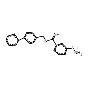 N=C(NCc1ccc(-c2ccccc2)cc1)c1cccc(NN)c1